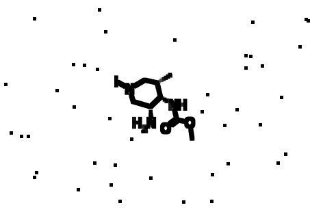 COC(=O)N[C@@H]1[C@H](N)CN(I)C[C@@H]1C